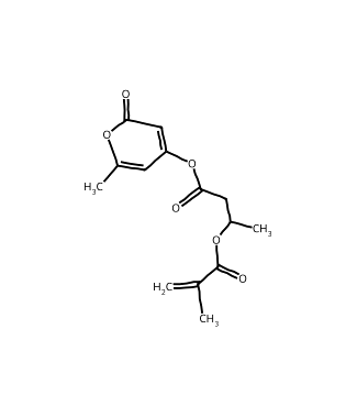 C=C(C)C(=O)OC(C)CC(=O)Oc1cc(C)oc(=O)c1